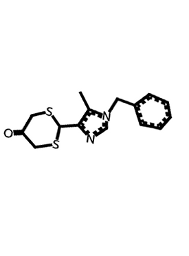 Cc1c(C2SCC(=O)CS2)ncn1Cc1ccccc1